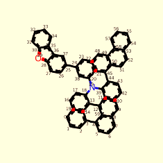 c1ccc(-c2cccc3cccc(-c4ccccc4N(c4cccc(-c5ccc6oc7ccccc7c6c5)c4)c4ccccc4-c4cccc5c4ccc4ccccc45)c23)cc1